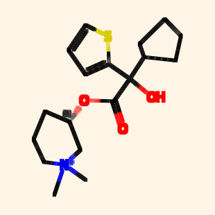 C[N+]1(C)CCC[C@H](OC(=O)C(O)(c2cccs2)C2CCCC2)C1